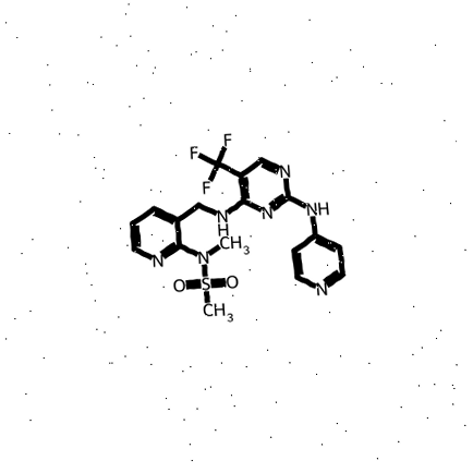 CN(c1ncccc1CNc1nc(Nc2ccncc2)ncc1C(F)(F)F)S(C)(=O)=O